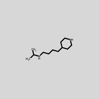 CC(C)NCCCCC1CCNCC1